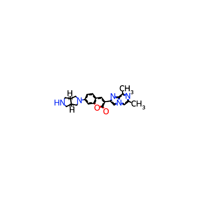 Cc1cn2cc(-c3cc4ccc(N5C[C@H]6CNC[C@H]6C5)cc4oc3=O)nc2c(C)n1